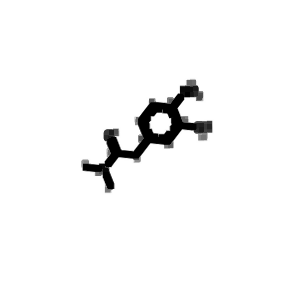 CN(C)C(=O)Cc1ccc([N+](=O)[O-])c(O)c1